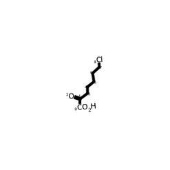 O=C(O)C(=O)CCCCCCl